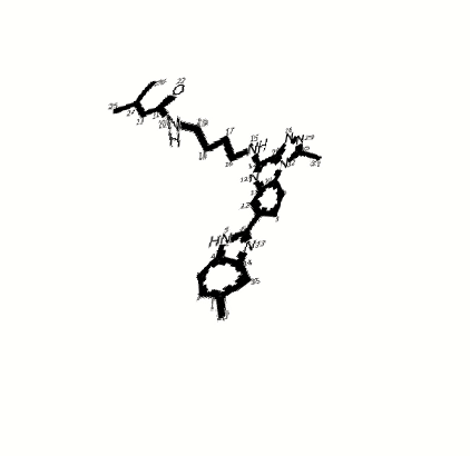 Cc1ccc2[nH]c(-c3ccc4c(c3)nc(NCCCCNC(=O)CC(C)C)c3nnc(C)n34)nc2c1